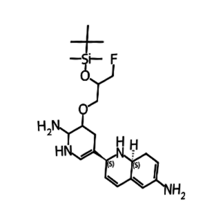 CC(C)(C)[Si](C)(C)OC(CF)COC1CC([C@@H]2C=CC3=CC(N)=CC[C@@H]3N2)=CNC1N